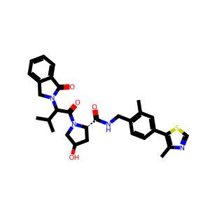 Cc1cc(-c2scnc2C)ccc1CNC(=O)[C@@H]1CC(O)CN1C(=O)C(C(C)C)N1Cc2ccccc2C1=O